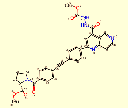 CC(C)(C)OC(=O)NNC(=O)c1cc(-c2ccc(C#Cc3ccc(C(=O)N4CCC[C@H]4C(=O)OC(C)(C)C)cc3)cc2)nc2ccncc12